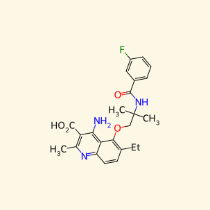 CCc1ccc2nc(C)c(C(=O)O)c(N)c2c1OCC(C)(C)NC(=O)c1cccc(F)c1